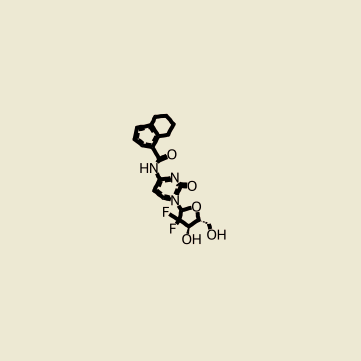 O=C(Nc1ccn(C2O[C@H](CO)[C@@H](O)C2(F)F)c(=O)n1)c1cccc2c1CCCC2